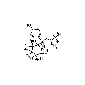 [2H]C([2H])([2H])N(C)CC([2H])(c1ccc(O)cc1)C1(O)C([2H])([2H])C([2H])([2H])C([2H])([2H])C([2H])([2H])C1([2H])[2H]